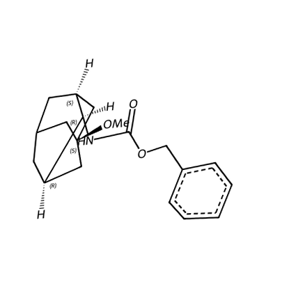 CO[C@]12CC3C[C@H](C1)[C@H](NC(=O)OCc1ccccc1)[C@@H](C3)C2